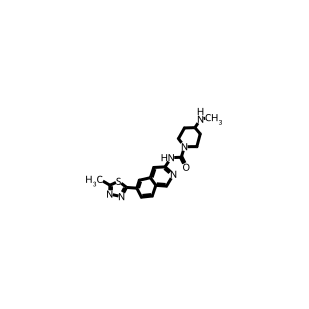 CNC1CCN(C(=O)Nc2cc3cc(-c4nnc(C)s4)ccc3cn2)CC1